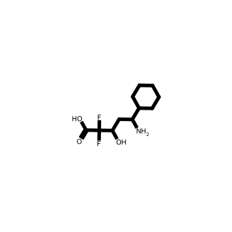 NC(CC(O)C(F)(F)C(=O)O)C1CCCCC1